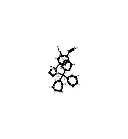 N#Cc1ccc(-c2n[c]cn2C(c2ccccc2)(c2ccccc2)c2ccccc2)cc1F